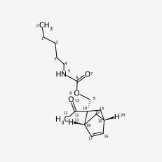 CCCCCNC(=O)OC[C@]1(C(C)=O)C[C@@H]2C=C[C@H]1C2